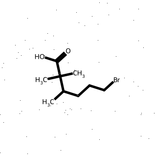 CC(CCCBr)C(C)(C)C(=O)O